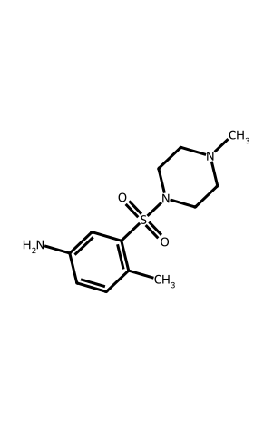 Cc1ccc(N)cc1S(=O)(=O)N1CCN(C)CC1